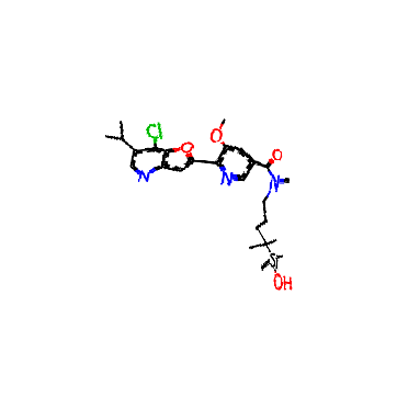 COc1cc(C(=O)N(C)CCCC(C)(C)[Si](C)(C)O)cnc1-c1cc2ncc(C(C)C)c(Cl)c2o1